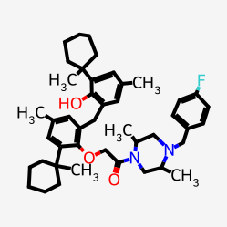 Cc1cc(Cc2cc(C)cc(C3(C)CCCCC3)c2OCC(=O)N2CC(C)N(Cc3ccc(F)cc3)CC2C)c(O)c(C2(C)CCCCC2)c1